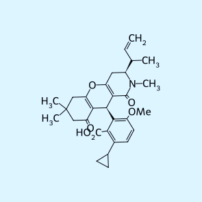 C=CC(C)[C@@H]1CC2=C(C(=O)N1C)[C@@H](c1c(OC)ccc(C3CC3)c1C(=O)O)C1=C(CC(C)(C)CC1=O)O2